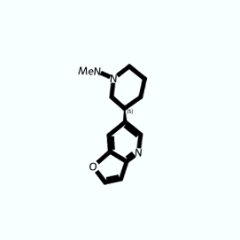 CNN1CCC[C@@H](c2cnc3ccoc3c2)C1